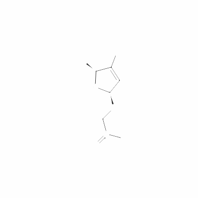 B[C@@H]1O[C@H](OC[PH](=O)I)C=C1F